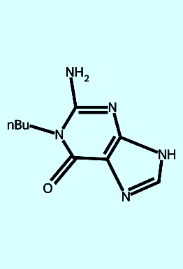 CCCCn1c(N)nc2[nH]cnc2c1=O